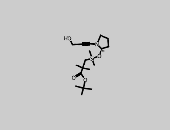 CC(C)(C)OC(=O)C(C)(C)C[Si](C)(C)O[C@@H]1CCCN1C#CCO